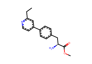 CCc1cc(-c2ccc(C[C@H](N)C(=O)OC)cc2)ccn1